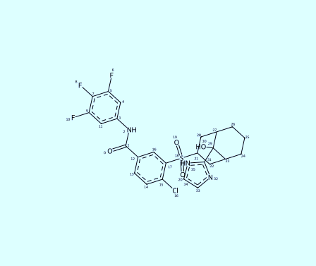 O=C(Nc1cc(F)c(F)c(F)c1)c1ccc(Cl)c(S(=O)(=O)C2CC3CCCC(C2)C3(O)c2ncc[nH]2)c1